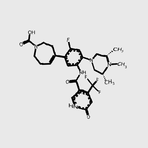 C[C@@H]1CN(c2cc(F)c(C3=CCCN(C(=O)O)CC3)cc2NC(=O)c2c[nH]c(=O)cc2C(F)(F)F)C[C@H](C)N1C